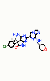 CC1(c2ccc(Cl)cc2)C(=O)Nc2nc(-c3cn4ccnc4c(NCC4CCOCC4)n3)nc(N)c21